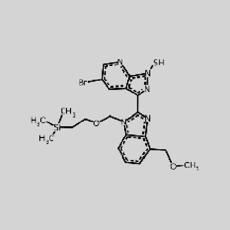 COCc1cccc2c1nc(-c1nn(S)c3ncc(Br)cc13)n2COCC[Si](C)(C)C